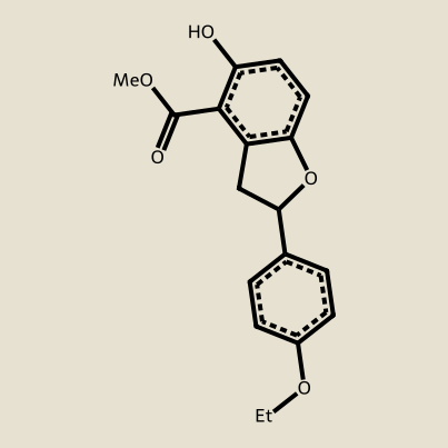 CCOc1ccc(C2Cc3c(ccc(O)c3C(=O)OC)O2)cc1